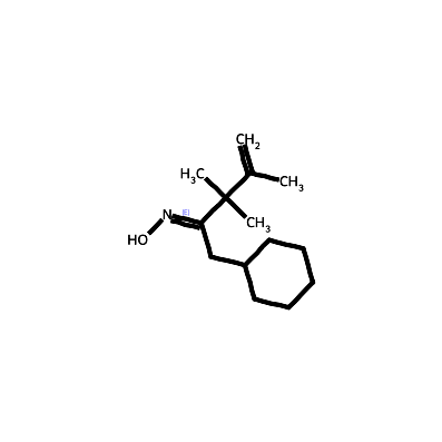 C=C(C)C(C)(C)/C(CC1CCCCC1)=N/O